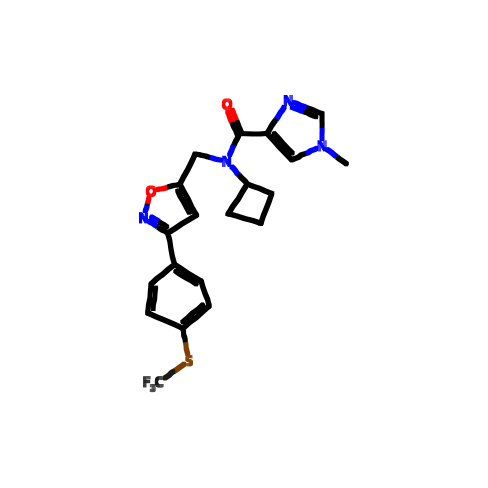 Cn1cnc(C(=O)N(Cc2cc(-c3ccc(SC(F)(F)F)cc3)no2)C2CCC2)c1